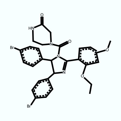 CCOc1cc(OC)ccc1C1=NC(c2ccc(Br)cc2)C(c2ccc(Br)cc2)N1C(=O)N1CCNC(=O)C1